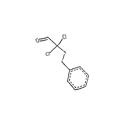 O=CC(Cl)(Cl)SCc1ccccc1